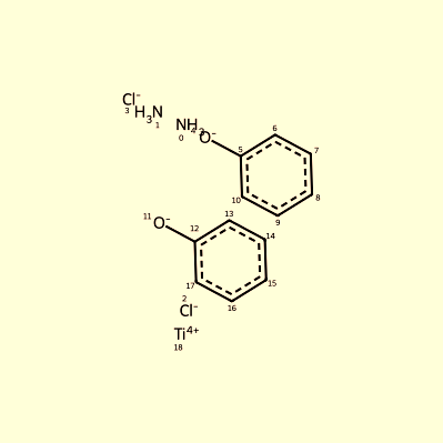 N.N.[Cl-].[Cl-].[O-]c1ccccc1.[O-]c1ccccc1.[Ti+4]